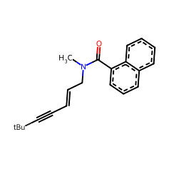 CN(C/C=C/C#CC(C)(C)C)C(=O)c1cccc2ccccc12